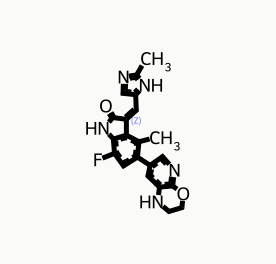 Cc1ncc(/C=C2\C(=O)Nc3c(F)cc(-c4cnc5c(c4)NCCO5)c(C)c32)[nH]1